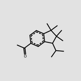 CC(=O)c1ccc2c(c1)C(C(C)C)C(C)(C)C2(C)C